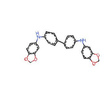 c1cc(-c2ccc(Nc3ccc4c(c3)OCO4)cc2)ccc1Nc1ccc2c(c1)OCO2